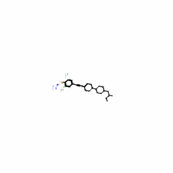 CCC(C)CC1CCC(C2CC=C(C#Cc3cc(F)c(SC#N)c(F)c3)CC2)CC1